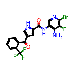 Nc1c(NC(=O)c2cc(C(=O)c3ccccc3C(F)(F)F)c[nH]2)cnc(Br)c1F